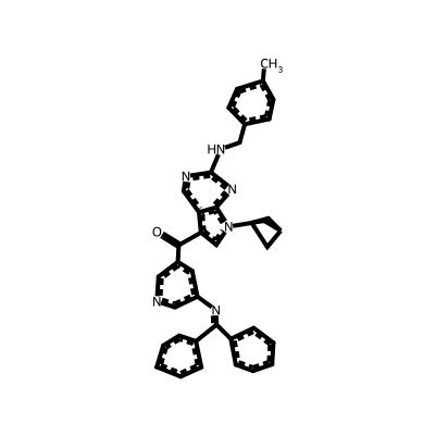 Cc1ccc(CNc2ncc3c(C(=O)c4cncc(N=C(c5ccccc5)c5ccccc5)c4)cn(C45CC(C4)C5)c3n2)cc1